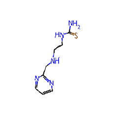 NC(=S)NCCNCc1ncccn1